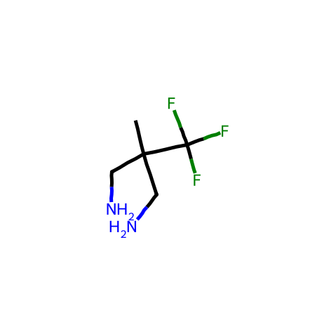 CC(CN)(CN)C(F)(F)F